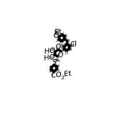 CCOC(=O)c1ccc(SC[C@H]2O[C@@H](c3ccc(Cl)c(Cc4ccc(OCC)cc4)c3)[C@H](O)[C@@H](O)[C@@H]2O)cc1